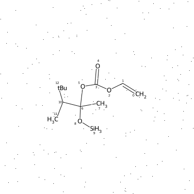 C=COC(=O)OC(C)(O[SiH3])C(C)C(C)(C)C